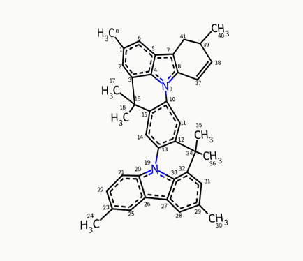 Cc1cc2c3c(c1)c1c(n3-c3cc4c(cc3C2(C)C)-n2c3ccc(C)cc3c3cc(C)cc(c32)C4(C)C)C=CC(C)C1